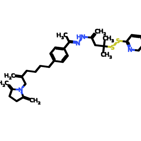 C=C(CCCCc1ccc(/C(C)=N/NC(=C)CC(C)(C)SSC2=NCCC=C2)cc1)CN1C(=C)CCC1=C